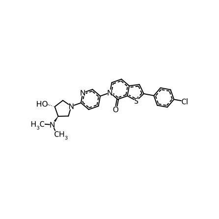 CN(C)[C@@H]1CN(c2ccc(-n3ccc4cc(-c5ccc(Cl)cc5)sc4c3=O)cn2)C[C@H]1O